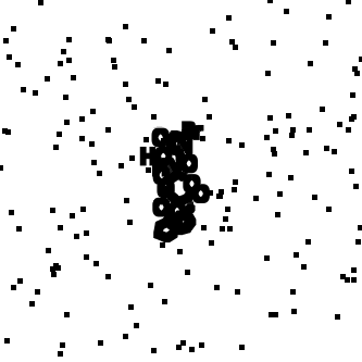 COc1cc(Br)nc(C(=O)N[C@H]2COC(=O)[C@H](Cc3ccccc3)[C@@H](OC(=O)C3CCCCC3)[C@H](C)OC2=O)c1O